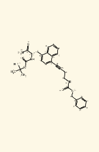 CC(C)(C)OC(=O)N[C@@H](Cc1ccc(C#CCCNC(=O)OCc2ccccc2)c2ccccc12)C(N)=O